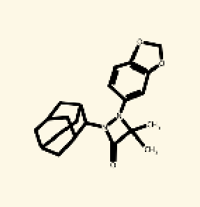 CC1(C)C(=O)N(C2C3CC4CC(C3)CC2C4)N1c1ccc2c(c1)OCO2